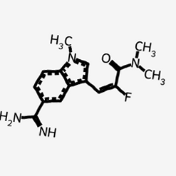 CN(C)C(=O)/C(F)=C\c1cn(C)c2ccc(C(=N)N)cc12